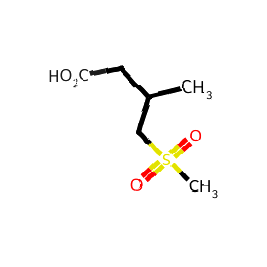 CC(CC(=O)O)CS(C)(=O)=O